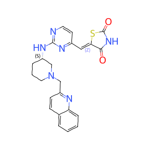 O=C1NC(=O)/C(=C/c2ccnc(N[C@H]3CCCN(Cc4ccc5ccccc5n4)C3)n2)S1